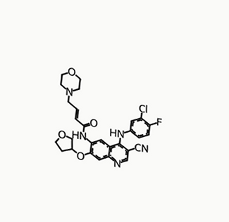 N#Cc1cnc2cc(OC3CCOC3)c(NC(=O)C=CCN3CCOCC3)cc2c1Nc1ccc(F)c(Cl)c1